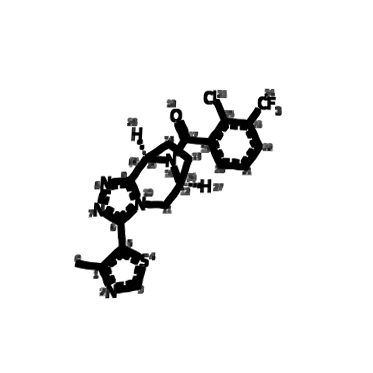 Cc1ncsc1-c1nnc2n1C[C@@H]1CC[C@H]2N1C(=O)c1cccc(C(F)(F)F)c1Cl